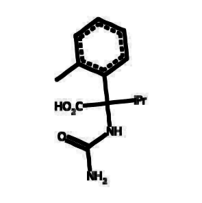 Cc1ccccc1C(NC(N)=O)(C(=O)O)C(C)C